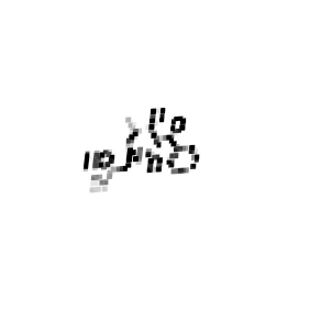 CCC(O)Cn1cc(C)c(=O)n(C(=O)c2ccccc2)c1=O